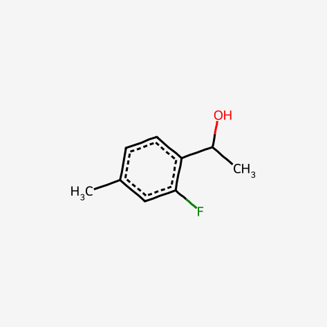 Cc1ccc(C(C)O)c(F)c1